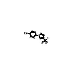 FC(F)(F)c1ccn(-c2ccc(Br)cc2)c1